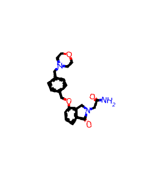 NC(=O)CN1Cc2c(OCc3ccc(CN4CCOCC4)cc3)cccc2C1=O